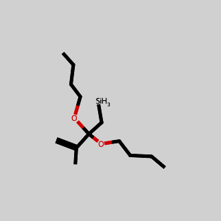 C=C(C)C(C[SiH3])(OCCCC)OCCCC